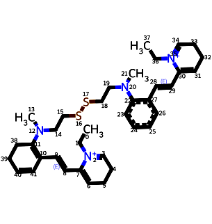 CC[N+]1=CCCC=C1/C=C/C1=C(N(C)CCSSCCN(C)c2ccccc2/C=C/C2=CCCC=[N+]2CC)CCC=C1